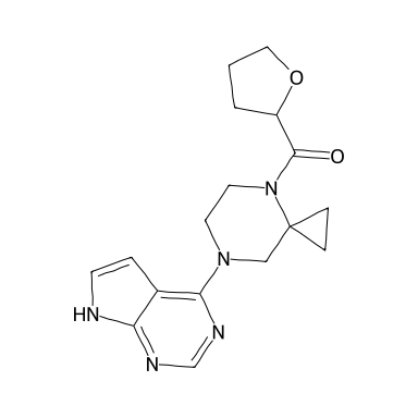 O=C(C1CCCO1)N1CCN(c2ncnc3[nH]ccc23)CC12CC2